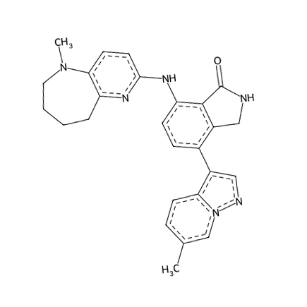 Cc1ccc2c(-c3ccc(Nc4ccc5c(n4)CCCCN5C)c4c3CNC4=O)cnn2c1